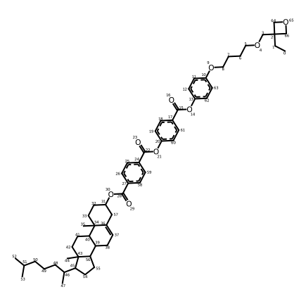 CCC1(COCCCCOc2ccc(OC(=O)c3ccc(OC(=O)c4ccc(C(=O)OC5CCC6(C)C(=CCC7C6CCC6(C)C(C(C)CCCC(C)C)CCC76)C5)cc4)cc3)cc2)COC1